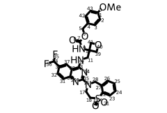 COc1ccc(COC(=O)NC2(CNc3nc(N4CCS(=O)(=O)c5ccccc5C4)nc4ccc(C(F)F)cc34)COC2)cc1